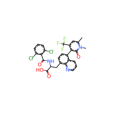 Cc1cc(C(F)(F)F)c(-c2ccc(CC(NC(=O)c3c(Cl)cccc3Cl)C(=O)O)c3ncccc23)c(=O)n1C